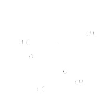 CCC(=O)C1(COC)C(C)CCC1C